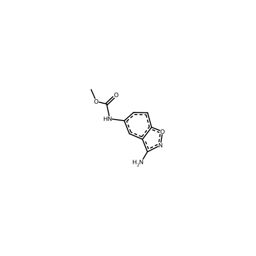 COC(=O)Nc1ccc2onc(N)c2c1